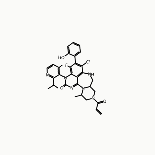 C=CC(=O)N1CC(C)N2c3nc(=O)n(-c4c(C)ccnc4C(C)C)c4c(F)c(-c5ccccc5O)c(Cl)c(c34)NCC2C1